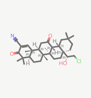 CC1(C)CC[C@]2([C@@H](O)CCl)CC[C@]3(C)[C@H](C(=O)C[C@@H]4[C@@]5(C)C=C(C#N)C(=O)C(C)(C)[C@@H]5CC[C@]43C)[C@@H]2C1